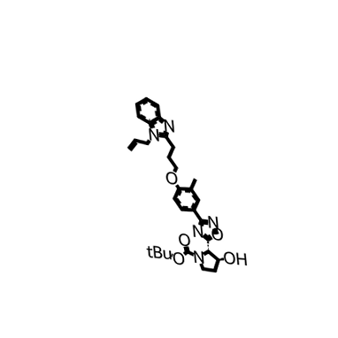 C=CCn1c(CCCOc2ccc(-c3noc([C@@H]4[C@@H](O)CCN4C(=O)OC(C)(C)C)n3)cc2C)nc2ccccc21